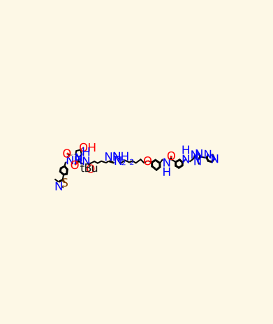 Cc1ncsc1-c1ccc(CNC(=O)[C@@H]2C[C@@H](O)CN2C(=O)[C@@H](NC(=O)CCCC/C(N)=C/N(N)CCCCCCCOc2cccc(CNC(=O)c3cccc(NCc4nnc(-c5ccncn5)n4C)c3)c2)C(C)(C)C)cc1